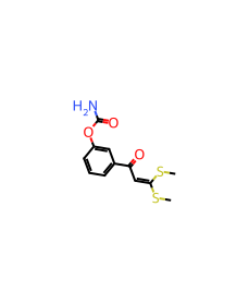 CSC(=CC(=O)c1cccc(OC(N)=O)c1)SC